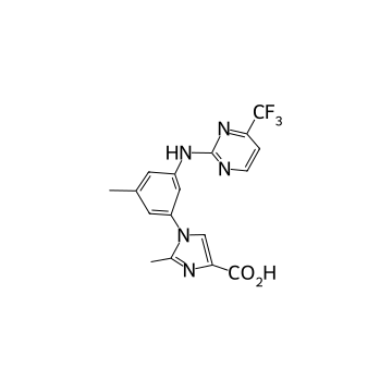 Cc1cc(Nc2nccc(C(F)(F)F)n2)cc(-n2cc(C(=O)O)nc2C)c1